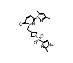 Cc1cc(C)n(-c2ccc(=O)n(CC3CN(S(=O)(=O)c4cn(C)c(C)n4)C3)n2)n1